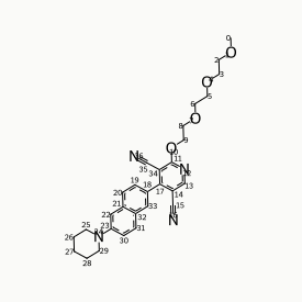 COCCOCCOCCOc1ncc(C#N)c(-c2ccc3cc(N4CCCCC4)ccc3c2)c1C#N